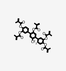 C=C(C)C(=O)Oc1ccc(-c2cc(C(F)(F)F)c(-c3ccc(OC(=O)C(=C)C)c(OC(=O)C(=C)C)c3)cc2OC(=O)C(=C)C)cc1OC(=O)C(=C)C